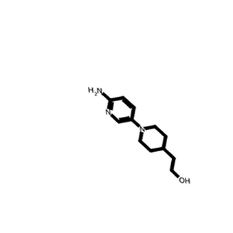 Nc1ccc(N2CCC(CCO)CC2)cn1